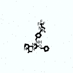 CC(C)c1ncccc1-c1ncc(OCc2ccccc2)c(NCc2ccc(-c3nc(C(F)(F)F)cn3C)cc2)n1